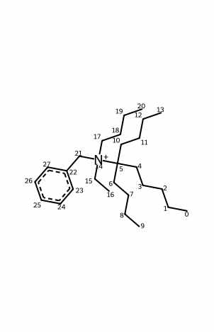 CCCCCC(CCCC)(CCCC)[N+](CC)(CCCC)Cc1ccccc1